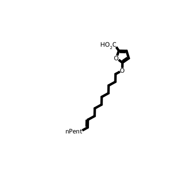 CCCCCC=CCCCCCCCCOc1ccc(C(=O)O)o1